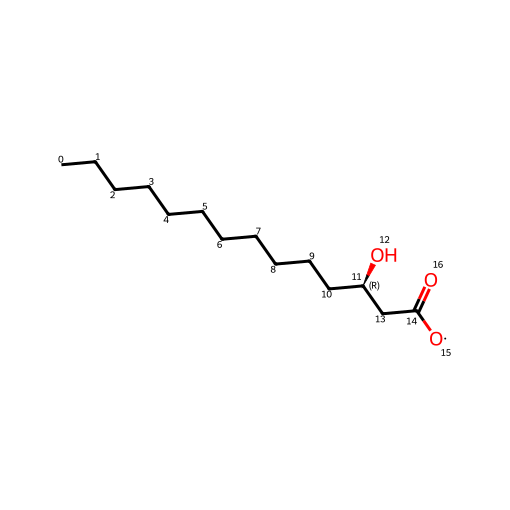 CCCCCCCCCCC[C@@H](O)CC([O])=O